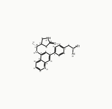 CCN(Cc1ccc(-c2cc(O[C@H](C)C3CNC(=O)C3)c3cccnc3c2)cc1)C(C)=O